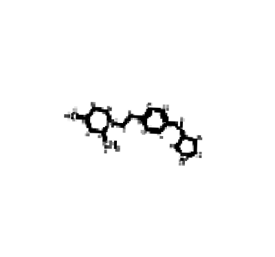 CC1CC(O)CCN1CCc1ccc(OC2CCOC2)cc1